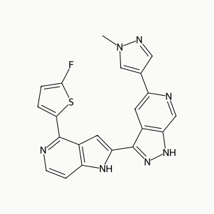 Cn1cc(-c2cc3c(-c4cc5c(-c6ccc(F)s6)nccc5[nH]4)n[nH]c3cn2)cn1